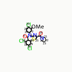 COc1cc(N(C(=O)c2ccc(Cl)cc2Cl)c2nc(C(=O)N3CCCC3)cs2)ccc1Cl